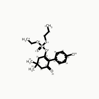 CCCSP(=S)(OCC)OC1=C(c2ccc(Cl)cc2)C(=O)CC(C)(C)C1